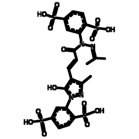 CC(C)=NN(C(=O)C=Cc1c(C)nn(-c2cc(S(=O)(=O)O)ccc2S(=O)(=O)O)c1O)c1cc(S(=O)(=O)O)ccc1S(=O)(=O)O